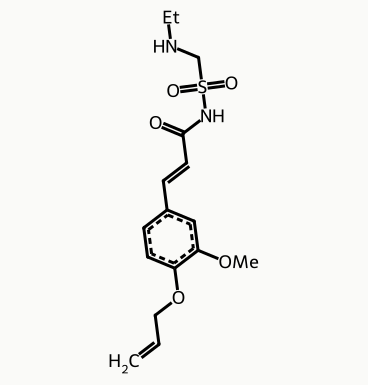 C=CCOc1ccc(C=CC(=O)NS(=O)(=O)CNCC)cc1OC